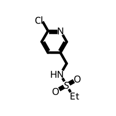 CCS(=O)(=O)NCc1ccc(Cl)nc1